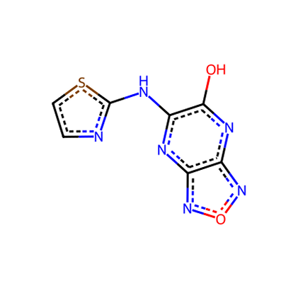 Oc1nc2nonc2nc1Nc1nccs1